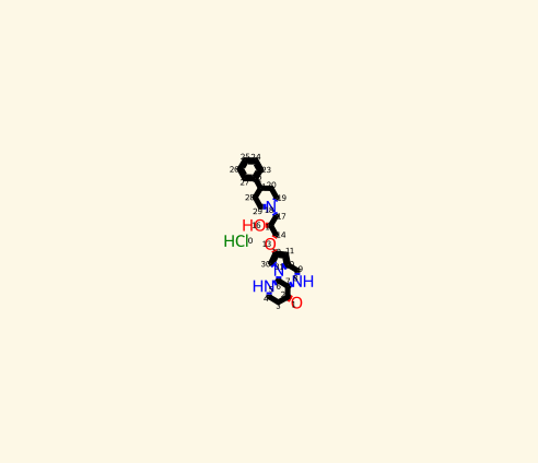 Cl.O=C1CCNC2C1NCc1cc(OCC(O)CN3CCC(c4ccccc4)CC3)cn12